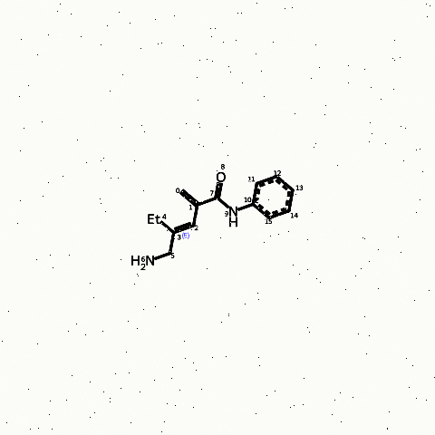 C=C(/C=C(\CC)CN)C(=O)Nc1ccccc1